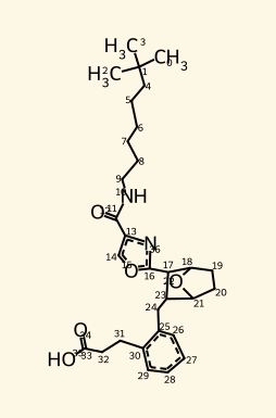 CC(C)(C)CCCCCCNC(=O)c1coc(C2C3CCC(O3)C2Cc2ccccc2CCC(=O)O)n1